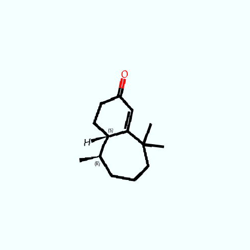 C[C@@H]1CCCC(C)(C)C2=CC(=O)CC[C@H]21